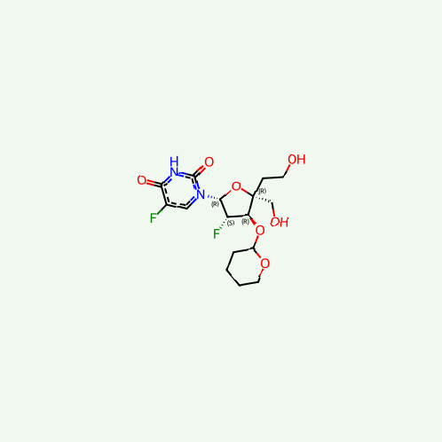 O=c1[nH]c(=O)n([C@@H]2O[C@@](CO)(CCO)[C@@H](OC3CCCCO3)[C@@H]2F)cc1F